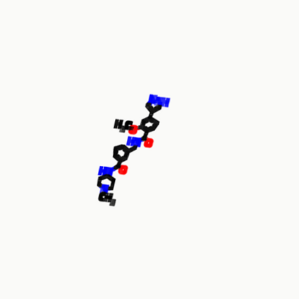 COc1cc(-c2cn[nH]c2)ccc1C(=O)NCc1cccc(C(=O)NC2CCN(C)CC2)c1